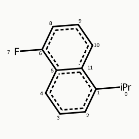 CC(C)c1cccc2c(F)cccc12